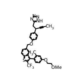 CC#CC(Cc1nnn[nH]1)c1ccc(OCc2ccc3sc(C(F)(F)F)c(-c4ccc(OCCOC)cc4C)c3c2)cc1